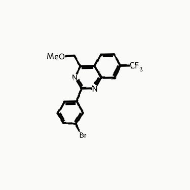 COCc1nc(-c2cccc(Br)c2)nc2cc(C(F)(F)F)ccc12